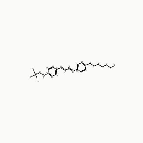 CCCCCCCc1ccc(C=NN=Cc2ccc(OCC(F)(F)F)cc2)cc1